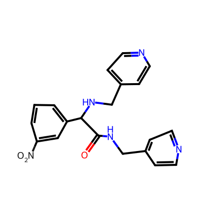 O=C(NCc1ccncc1)C(NCc1ccncc1)c1cccc([N+](=O)[O-])c1